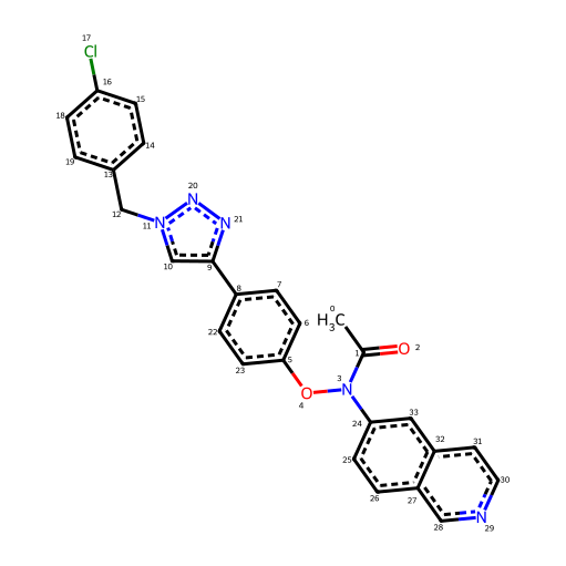 CC(=O)N(Oc1ccc(-c2cn(Cc3ccc(Cl)cc3)nn2)cc1)c1ccc2cnccc2c1